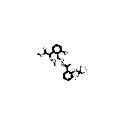 CO/N=C(/C(=O)OC)c1cccc(Br)c1CO/N=C(\C)c1ccccc1OC(F)(P)P